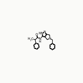 CC(C(=O)Nc1[nH]nc2c1CN(Cc1ccccc1)C2)c1ccccc1